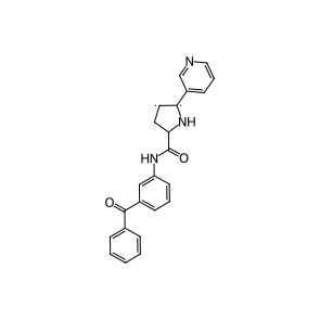 O=C(c1ccccc1)c1cccc(NC(=O)C2C[CH][C](c3cccnc3)N2)c1